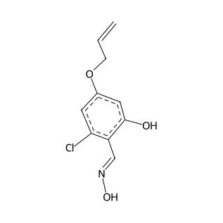 C=CCOc1cc(O)c(C=NO)c(Cl)c1